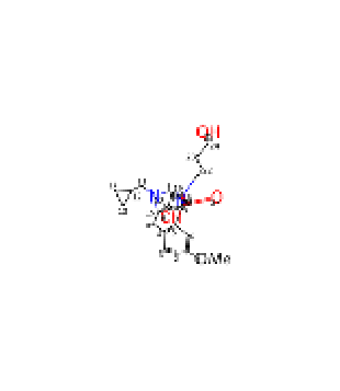 COc1ccc2c(c1)C13CCN(CC4CC4)C(C2)C1(O)CCN(CCCO)C(=O)C3